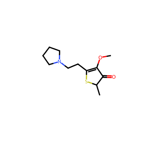 COC1=C(CCN2CCCC2)SC(C)C1=O